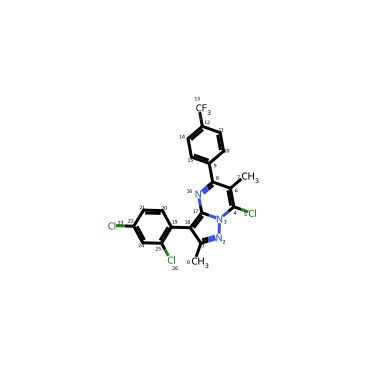 Cc1nn2c(Cl)c(C)c(-c3ccc(C(F)(F)F)cc3)nc2c1-c1ccc(Cl)cc1Cl